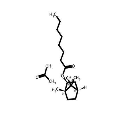 CC(=O)O.CCCCCCCC(=O)O[C@H]1C[C@H]2CC[C@@]1(C)C2(C)C